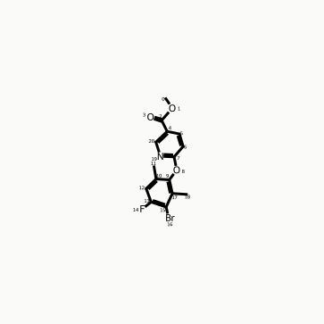 COC(=O)c1ccc(Oc2c(C)cc(F)c(Br)c2C)nc1